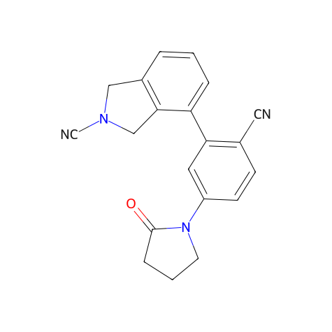 N#Cc1ccc(N2CCCC2=O)cc1-c1cccc2c1CN(C#N)C2